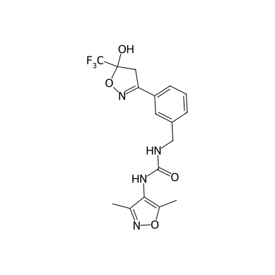 Cc1noc(C)c1NC(=O)NCc1cccc(C2=NOC(O)(C(F)(F)F)C2)c1